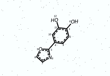 Oc1ccc(-c2ncco2)cc1O